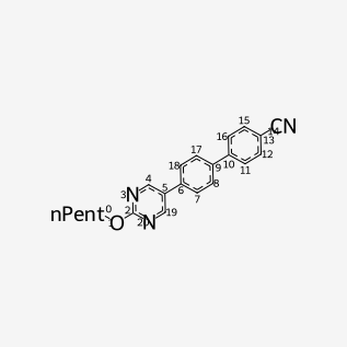 CCCCCOc1ncc(-c2ccc(-c3ccc(C#N)cc3)cc2)cn1